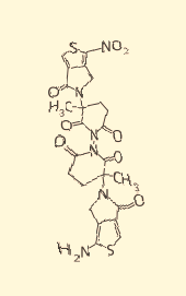 CC1(N2Cc3c(csc3N)C2=O)CCC(=O)N(N2C(=O)CCC(C)(N3Cc4c(csc4[N+](=O)[O-])C3=O)C2=O)C1=O